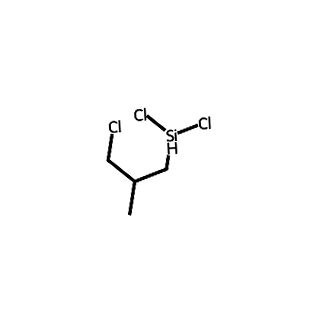 CC(CCl)C[SiH](Cl)Cl